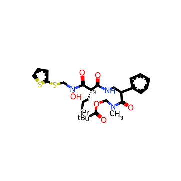 CC(C)CC[C@@H](C(=O)NCC(C(=O)N(C)COC(=O)C(C)(C)C)c1ccccc1)C(=O)N(O)CSc1cccs1